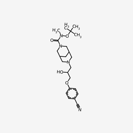 CN(OC(C)(C)C)C(=O)N1CC2CC(CN(CC(O)COc3ccc(C#N)cc3)C2)C1